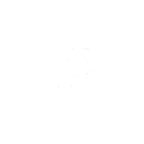 COc1ccc2ncc(Cl)c(C(O)CCC3(CC(=O)O)CCN(CCCc4c(F)cccc4F)CC3)c2c1